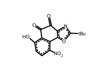 CC(C)(C)c1nc2c(o1)-c1c([N+](=O)[O-])ccc(O)c1C(=O)C2=O